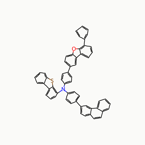 c1ccc(-c2cccc3c2oc2ccc(-c4ccc(N(c5ccc(-c6ccc7ccc8ccccc8c7c6)cc5)c5cccc6c5sc5ccccc56)cc4)cc23)cc1